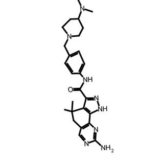 CN(C)C1CCN(Cc2ccc(NC(=O)c3n[nH]c4c3C(C)(C)Cc3cnc(N)nc3-4)cc2)CC1